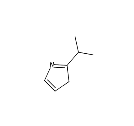 CC(C)C1=NC=CC1